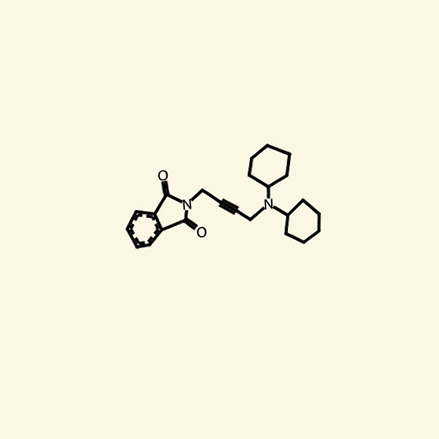 O=C1c2ccccc2C(=O)N1CC#CCN(C1CCCCC1)C1CCCCC1